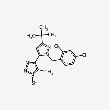 Cc1c(-c2cc(C(C)(C)C)nn2Cc2ccc(Cl)cc2Cl)nnn1S